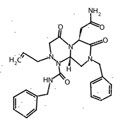 C=CCN1CC(=O)N2[C@@H](CC(N)=O)C(=O)N(Cc3ccccc3)C[C@@H]2N1C(=O)NCc1ccccc1